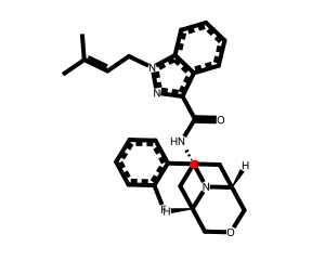 CC(C)=CCn1nc(C(=O)N[C@H]2C[C@H]3COC[C@@H](C2)N3Cc2ccccc2F)c2ccccc21